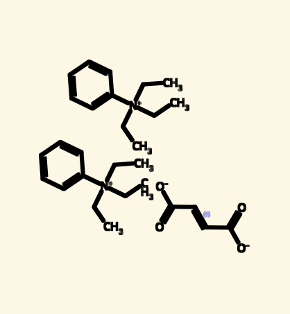 CC[N+](CC)(CC)c1ccccc1.CC[N+](CC)(CC)c1ccccc1.O=C([O-])/C=C/C(=O)[O-]